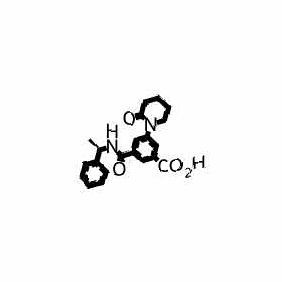 C[C@@H](NC(=O)c1cc(C(=O)O)cc(N2CCCCC2=O)c1)c1ccccc1